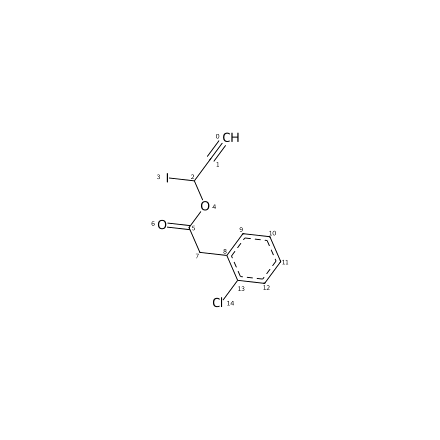 C#CC(I)OC(=O)Cc1ccccc1Cl